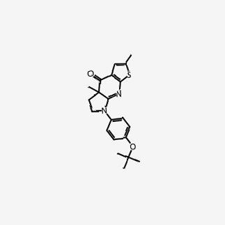 Cc1cc2c(s1)N=C1N(c3ccc(OC(C)(C)C)cc3)CCC1(C)C2=O